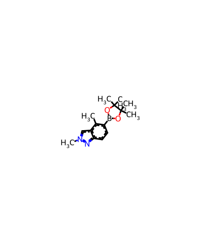 Cc1c(B2OC(C)(C)C(C)(C)O2)ccc2nn(C)cc12